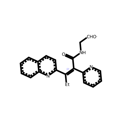 CC/C(=C(/C(=O)NC[C]=O)c1ccccn1)c1ccc2ccccc2n1